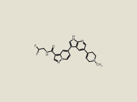 CN1CC=C(c2cnc3[nH]cc(-c4ccn5ncc(C(=O)NCC(F)F)c5c4)c3c2)CC1